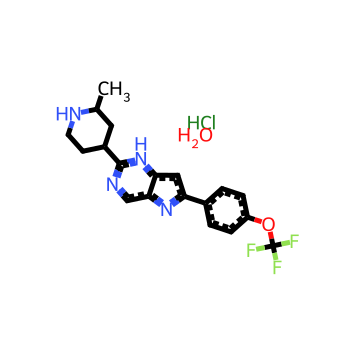 CC1CC(c2ncc3nc(-c4ccc(OC(F)(F)F)cc4)cc-3[nH]2)CCN1.Cl.O